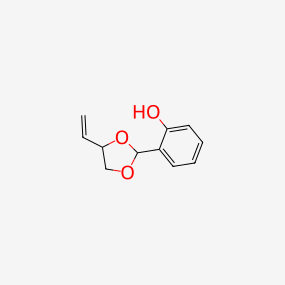 C=CC1COC(c2ccccc2O)O1